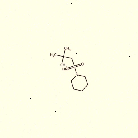 CC(C)(C)CS(=N)(=O)N1CCCCC1